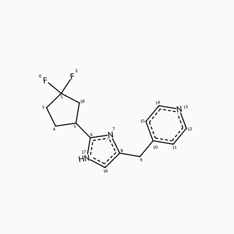 FC1(F)CCC(c2nc(Cc3ccncc3)c[nH]2)C1